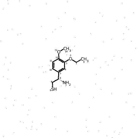 CCOc1cc([C@H](N)CS)ccc1OC